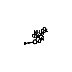 CC1(C)CN(c2cnc3c(c2)[C@]2(COC(N)=N2)c2cc(C#CC4CC4)ccc2O3)CCO1